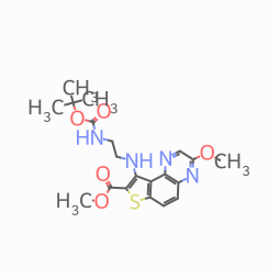 COC(=O)c1sc2ccc3nc(OC)cnc3c2c1NCCNC(=O)OC(C)(C)C